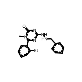 CCc1ccccc1-c1nc(NNCc2ccccc2)nc(=O)n1C